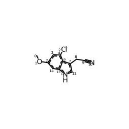 COc1cc(Cl)c2c(CC#N)c[nH]c2c1